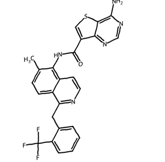 Cc1ccc2c(Cc3ccccc3C(F)(F)F)nccc2c1NC(=O)c1csc2c(N)ncnc12